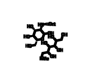 CCCCCCCCN[C@H]1C(O)O[C@H](CO)[C@@H](O)[C@@H]1O.CNCC(O)C(O)C(O)C(O)CO